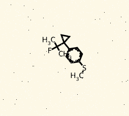 CSc1ccc(C2(C(C)(C)F)CC2)cc1